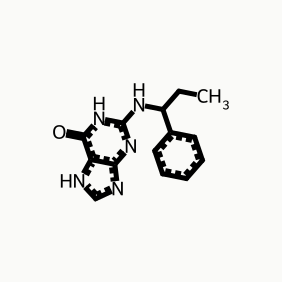 CCC(Nc1nc2nc[nH]c2c(=O)[nH]1)c1ccccc1